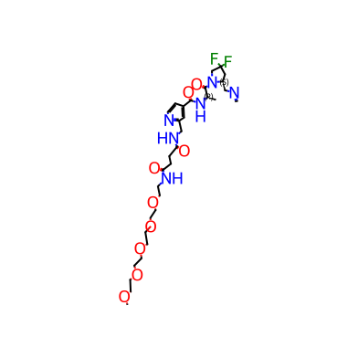 C=NC[C@@H]1CC(F)(F)CN1C(=O)[C@@H](C)NC(=O)c1ccnc(CNC(=O)CCC(=O)NCCOCCOCCOCCOCCOC)c1